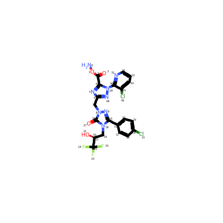 NOC(=O)c1nc(Cn2nc(-c3ccc(Cl)cc3)n(C[C@H](O)C(F)(F)F)c2=O)nn1-c1ncccc1Cl